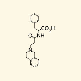 O=C(CCN1CCc2ccccc2C1)N[C@@H](Cc1ccccc1)C(=O)O